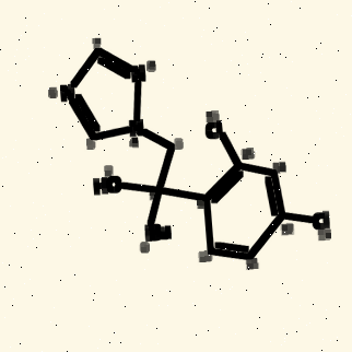 CCC(C)C(O)(Cn1cncn1)c1ccc(Cl)cc1Cl